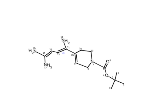 CC(C)(C)OC(=O)N1CC=C(/C(N)=C/C=C(N)N)CC1